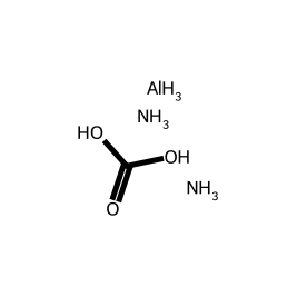 N.N.O=C(O)O.[AlH3]